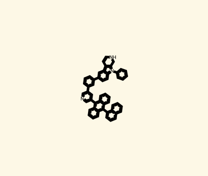 C1=Cc2c(n(-c3ccccc3)c3ccc(-c4cccc(-c5cncc(-c6c7ccccc7c(-c7cccc8ccccc78)c7ccccc67)c5)c4)cc23)CN1